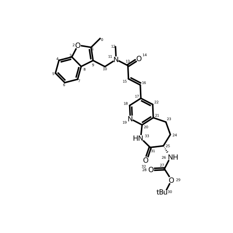 Cc1oc2ccccc2c1CN(C)C(=O)/C=C/c1cnc2c(c1)CC[C@H](NC(=O)OC(C)(C)C)C(=O)N2